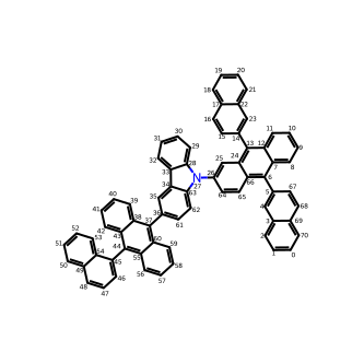 c1ccc2cc(-c3c4ccccc4c(-c4ccc5ccccc5c4)c4cc(-n5c6ccccc6c6cc(-c7c8ccccc8c(-c8cccc9ccccc89)c8ccccc78)ccc65)ccc34)ccc2c1